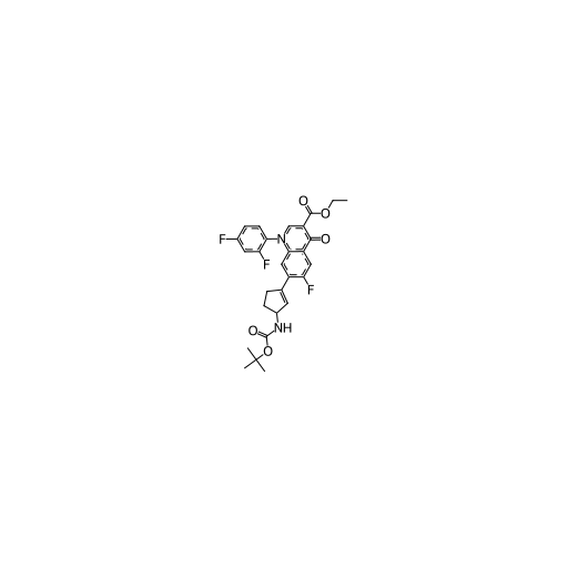 CCOC(=O)c1cn(-c2ccc(F)cc2F)c2cc(C3=CC(NC(=O)OC(C)(C)C)CC3)c(F)cc2c1=O